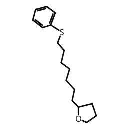 c1ccc(SCCCCCCCC2CCCO2)cc1